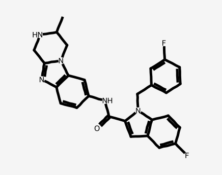 CC1Cn2c(nc3ccc(NC(=O)c4cc5cc(F)ccc5n4Cc4cccc(F)c4)cc32)CN1